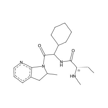 CC[C@H](NC)C(=O)NC(C(=O)N1c2ncccc2CC1C)C1CCCCC1